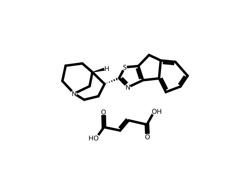 O=C(O)C=CC(=O)O.c1ccc2c(c1)Cc1sc([C@@H]3CCN4CCC[C@H]3C4)nc1-2